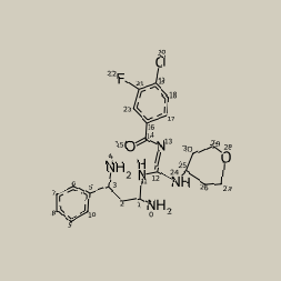 NC(CC(N)c1ccccc1)N/C(=N\C(=O)c1ccc(Cl)c(F)c1)NC1CCOCC1